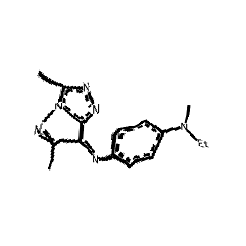 CCN(C)c1ccc(/N=C2/C(C)=Nn3c(C)nnc32)cc1